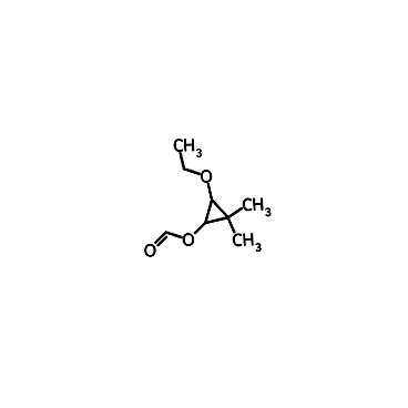 CCOC1C(OC=O)C1(C)C